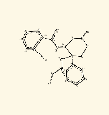 CCC(=O)OC1(c2ccccc2)CCN(C)CC1OC(=O)c1ccccc1F